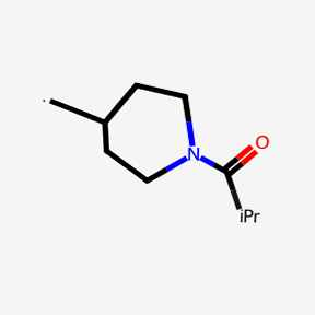 [CH2]C1CCN(C(=O)C(C)C)CC1